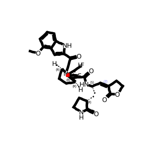 COc1cccc2[nH]c(C(=O)N3[C@@H]4CC[C@H]([C@@H]3C(=O)N[C@H](/C=C3/CCOC3=O)C[C@H]3CCNC3=O)C(F)(F)C4)cc12